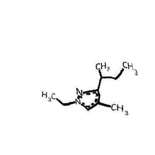 CCC(C)c1nn(CC)cc1C